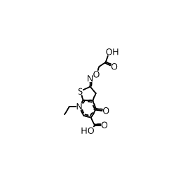 CCn1cc(C(=O)O)c(=O)c2c1SC(=NOCC(=O)O)C2